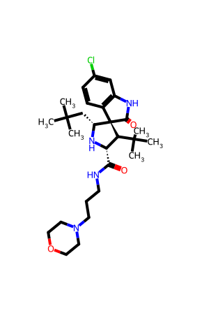 CC(C)(C)C[C@H]1N[C@@H](C(=O)NCCCN2CCOCC2)C(C(C)(C)C)[C@@]12C(=O)Nc1cc(Cl)ccc12